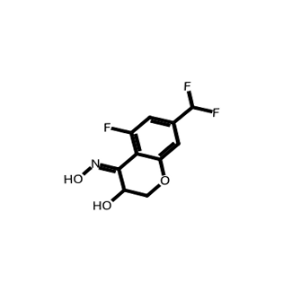 ON=C1c2c(F)cc(C(F)F)cc2OCC1O